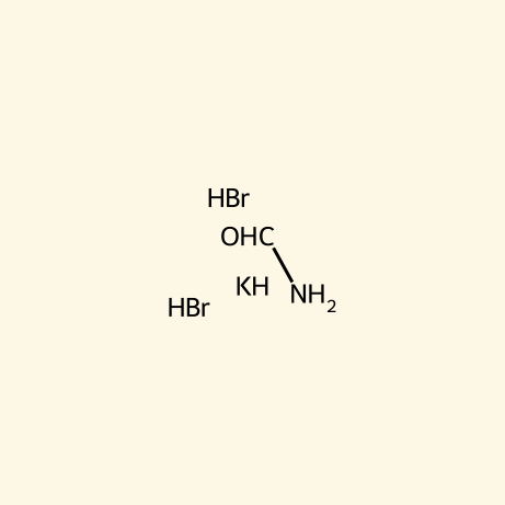 Br.Br.NC=O.[KH]